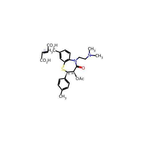 CC(=O)O[C@@H]1C(=O)N(CCN(C)C)c2ccc(C)cc2S[C@@H]1c1ccc(C)cc1.O=C(O)/C=C/C(=O)O